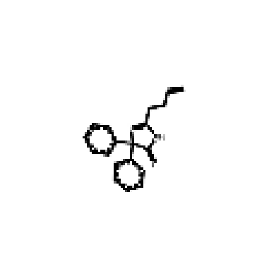 C=CCCC1=NC(c2ccccc2)(c2ccccc2)C(=O)N1